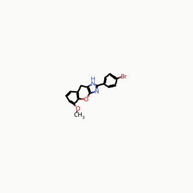 COc1cccc2c1Oc1nc(-c3ccc(Br)cc3)[nH]c1C2